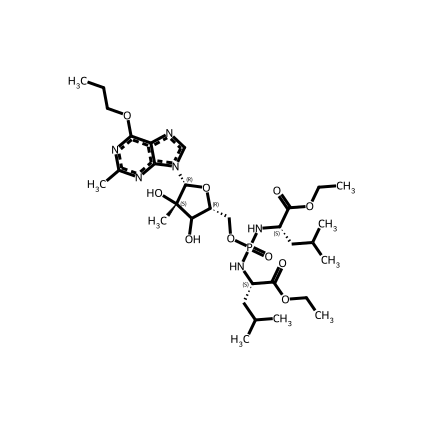 CCCOc1nc(C)nc2c1ncn2[C@@H]1O[C@H](COP(=O)(N[C@@H](CC(C)C)C(=O)OCC)N[C@@H](CC(C)C)C(=O)OCC)C(O)[C@]1(C)O